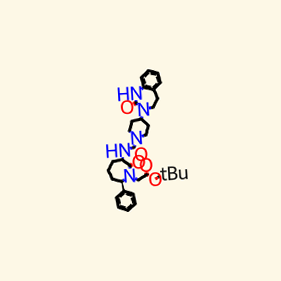 CC(C)(C)OC(=O)CN1C(=O)[C@H](NC(=O)N2CCC(N3CCc4ccccc4NC3=O)CC2)CCC[C@@H]1c1ccccc1